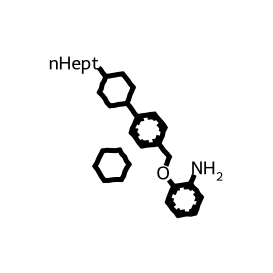 C1CCCCC1.CCCCCCCC1CCC(c2ccc(COc3ccccc3N)cc2)CC1